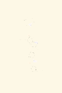 COc1cc2c(Oc3ccc(N[S+]([O-])c4ccc(F)c(F)c4)cc3F)ccnc2cc1OCCCN1CCCC(C)C1